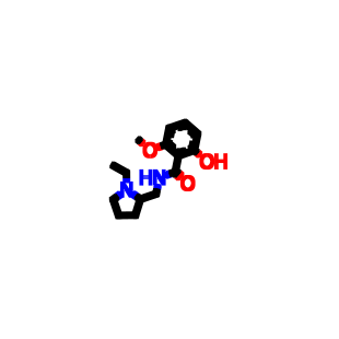 CCN1CCCC1CNC(=O)c1c(O)cccc1OC